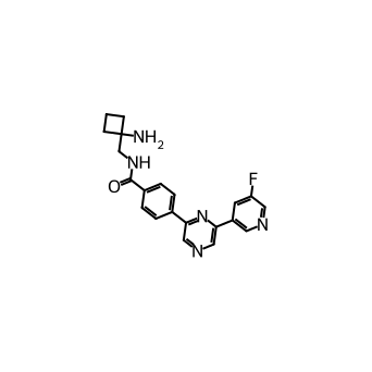 NC1(CNC(=O)c2ccc(-c3cncc(-c4cncc(F)c4)n3)cc2)CCC1